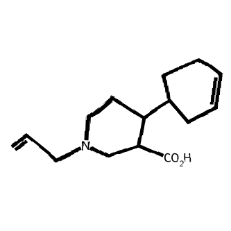 C=CCN1CCC(C2CC=CCC2)C(C(=O)O)C1